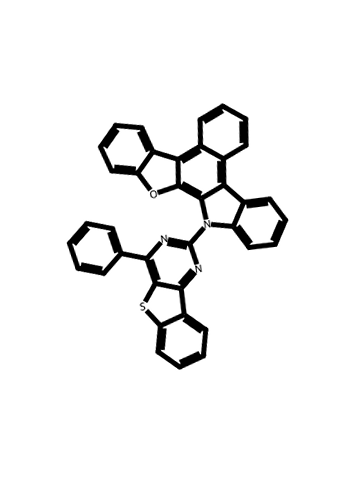 c1ccc(-c2nc(-n3c4ccccc4c4c5ccccc5c5c6ccccc6oc5c43)nc3c2sc2ccccc23)cc1